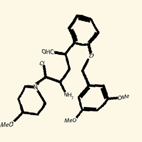 COc1cc(COc2ccccc2C(C=O)CC(N)C(Cl)N2CCC(OC)CC2)cc(OC)c1